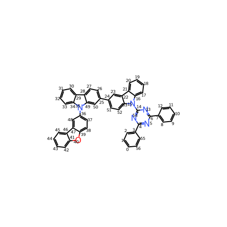 c1ccc(-c2nc(-c3ccccc3)nc(-n3c4ccccc4c4cc(-c5ccc6c7ccccc7n(-c7ccc8oc9ccccc9c8c7)c6c5)ccc43)n2)cc1